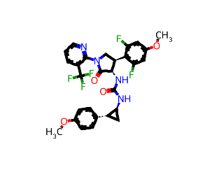 COc1ccc([C@H]2C[C@@H]2NC(=O)N[C@@H]2C(=O)N(c3ncccc3C(F)(F)F)C[C@H]2c2c(F)cc(OC)cc2F)cc1